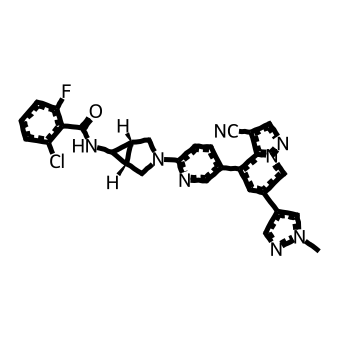 Cn1cc(-c2cc(-c3ccc(N4C[C@@H]5C(NC(=O)c6c(F)cccc6Cl)[C@@H]5C4)nc3)c3c(C#N)cnn3c2)cn1